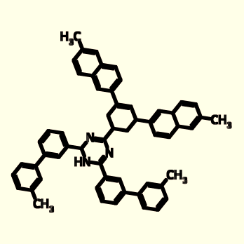 CC1=CC2C=CC(C3C=C(c4ccc5cc(C)ccc5c4)CC(C4=NC(c5cccc(-c6cccc(C)c6)c5)NC(c5cccc(-c6cccc(C)c6)c5)=N4)C3)=CC2C=C1